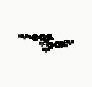 Cc1ccn(-c2ccc(-c3ccc(C=CC(=O)O)cc3)cc2[C@@H](Oc2cc(N3CCC4(CC3)CNC(C(=O)O)C4)nc(N)n2)C(F)(F)F)n1